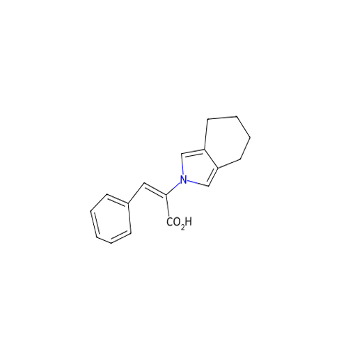 O=C(O)/C(=C\c1ccccc1)n1cc2c(c1)CCCC2